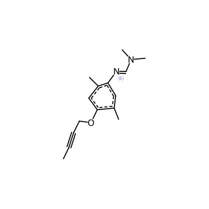 CC#CCOc1cc(C)c(/N=C/N(C)C)cc1C